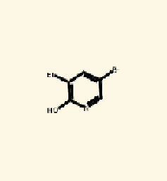 CCc1cc(Br)cnc1O